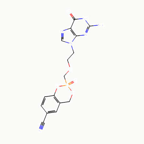 N#Cc1ccc2c(c1)COP(=O)(COCCn1cnc3c(=O)[nH]c(N)nc31)O2